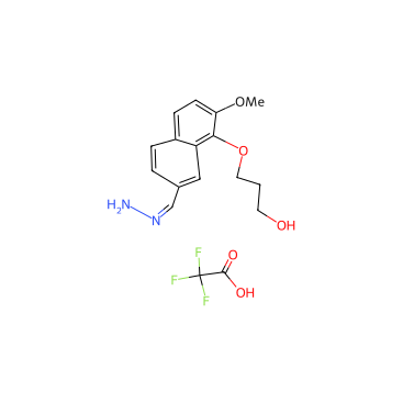 COc1ccc2ccc(/C=N\N)cc2c1OCCCO.O=C(O)C(F)(F)F